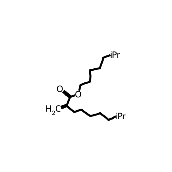 C=C(CCCCCC(C)C)C(=O)OCCCCCC(C)C